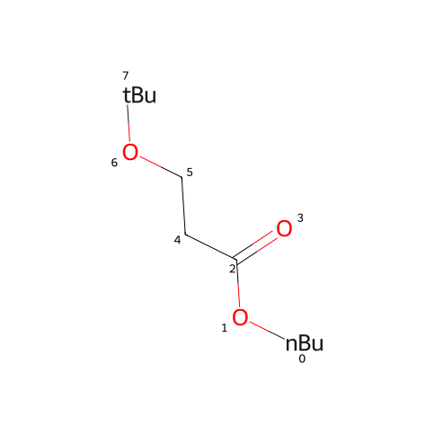 CCCCOC(=O)CCOC(C)(C)C